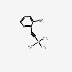 C[Si](C)(C)C#Cc1ncccc1[N+](=O)[O-]